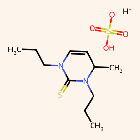 CCCN1C=CC(C)N(CCC)C1=S.O=S(=O)([O-])O.[H+]